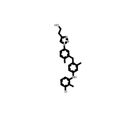 Cc1cc(Nc2cccc(Cl)c2C)ccc1Cc1cc(-n2cc(CCO)nn2)ccc1C